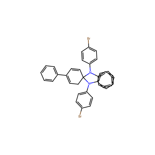 Brc1ccc(N(c2ccccc2)C2(N(c3ccccc3)c3ccc(Br)cc3)C=CC(c3ccccc3)=CC2)cc1